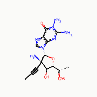 CC#C[C@@]1(N)C(O)[C@@H]([C@H](C)O)O[C@H]1n1cnc2c(=O)n(N)c(N)nc21